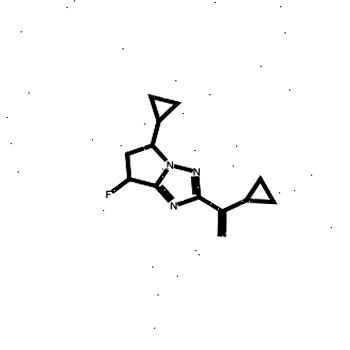 C=C(c1nc2n(n1)C(C1CC1)CC2F)C1CC1